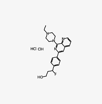 CCN1CCN(c2nc(-c3ccc(C(F)CCO)cc3)cc3cccnc23)CC1.Cl.Cl